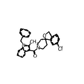 Cc1c(C(=O)N2CCC3(CC2)OCc2ccc(Cl)cc23)c2ccccc2n1Cc1ccccc1